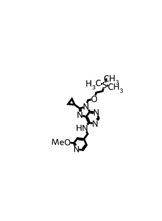 COc1cc(CNc2ncnc3c2nc(C2CC2)n3COCCS(C)(C)C)ccn1